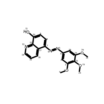 COc1cc(N=Nc2ccc(O)c3ncccc23)cc(OC)c1OC